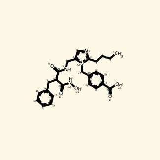 CCCCc1ncc(CNC(=O)C(Cc2ccccc2)C(=O)NO)n1Cc1ccc(C(=O)O)cc1